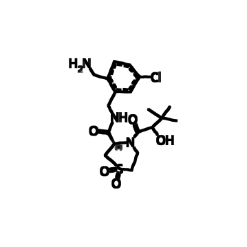 CC(C)(C)C(O)C(=O)N1CCS(=O)(=O)C[C@H]1C(=O)NCc1cc(Cl)ccc1CN